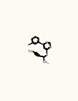 CC#CC(C)Oc1cc(-c2cccc(F)c2)ncn1